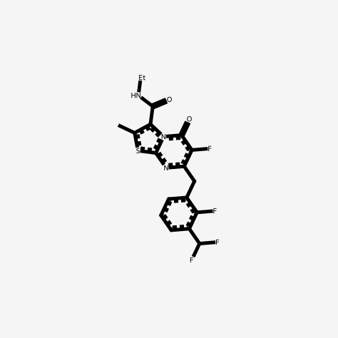 CCNC(=O)c1c(C)sc2nc(Cc3cccc(C(F)F)c3F)c(F)c(=O)n12